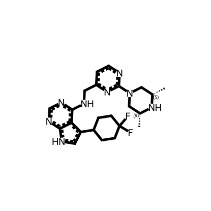 C[C@@H]1CN(c2nccc(CNc3ncnc4[nH]cc(C5CCC(F)(F)CC5)c34)n2)C[C@H](C)N1